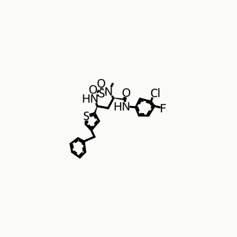 CN1[C@@H](C(=O)Nc2ccc(F)c(Cl)c2)C[C@@H](c2cc(Cc3ccccc3)cs2)NS1(=O)=O